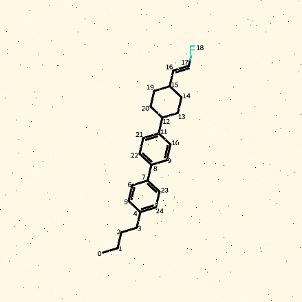 CCCCc1ccc(-c2ccc(C3CCC(C=CF)CC3)cc2)cc1